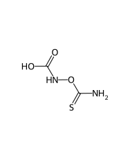 NC(=S)ONC(=O)O